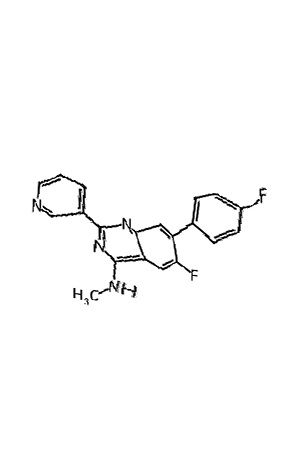 CNc1nc(-c2cccnc2)nc2cc(-c3ccc(F)cc3)c(F)cc12